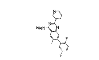 CNc1nc(-c2cccnc2)nc2cc(-c3cc(F)ccc3F)c(C)cc12